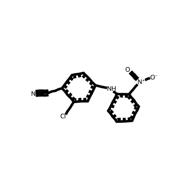 N#Cc1ccc(Nc2ccccc2[N+](=O)[O-])cc1Cl